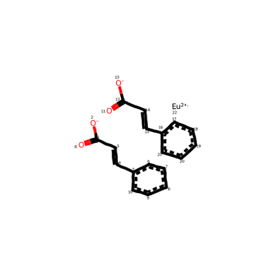 O=C([O-])C=Cc1ccccc1.O=C([O-])C=Cc1ccccc1.[Eu+2]